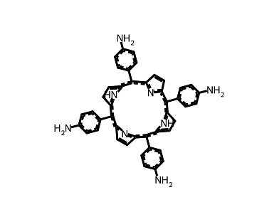 Nc1ccc(-c2c3nc(c(-c4ccc(N)cc4)c4[nH]c(c(-c5ccc(N)cc5)c5nc(c(-c6ccc(N)cc6)c6[nH]c2CC=6)C=C5)CC=4)C=C3)cc1